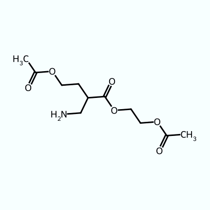 CC(=O)OCCOC(=O)C(CN)CCOC(C)=O